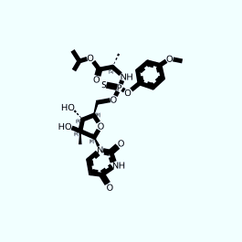 COc1ccc(OP(=S)(N[C@@H](C)C(=O)OC(C)C)OC[C@H]2O[C@@H](n3ccc(=O)[nH]c3=O)[C@](C)(O)[C@@H]2O)cc1